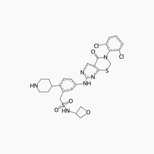 O=C1c2cnc(Nc3ccc(C4CCNCC4)c(CS(=O)(=O)NC4COC4)c3)nc2SCN1c1c(Cl)cccc1Cl